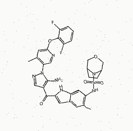 Cc1cc2cc(C(=O)c3cnn(-c4cnc(Oc5c(F)cccc5F)cc4C)c3N)[nH]c2cc1NS(=O)(=O)N1C2CCC1COC2